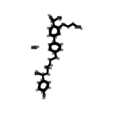 CCCOc1cc(-c2ccc(OCCNC[C@H](O)c3ccc(Cl)cc3)cc2)ccc1C(=O)O.Cl